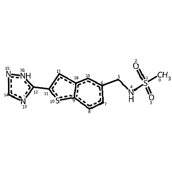 CS(=O)(=O)NCc1ccc2sc(-c3ncn[nH]3)cc2c1